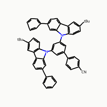 CC(C)(C)c1ccc2c(c1)c1ccc(-c3ccccc3)cc1n2-c1cc(-c2ccc(C#N)cc2)cc(-n2c3ccc(C(C)(C)C)cc3c3ccc(-c4ccccc4)cc32)c1